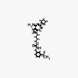 CC(F)c1cccc(CNC(=O)OCCCCn2cnc3c2CN=C(N2CCCC2)N=C3N)c1